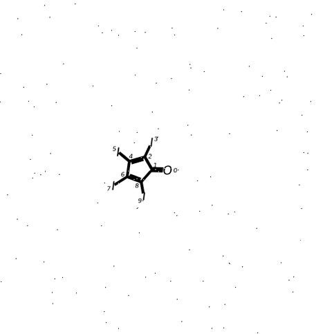 O=C1C(I)=C(I)C(I)=C1I